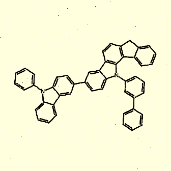 c1ccc(-c2cccc(-n3c4ccc(-c5ccc6c(c5)c5ccccc5n6-c5ccccc5)cc4c4ccc5c(c43)-c3ccccc3C5)c2)cc1